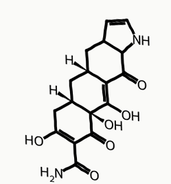 NC(=O)C1=C(O)C[C@@H]2C[C@@H]3CC4C=CNC4C(=O)C3=C(O)[C@]2(O)C1=O